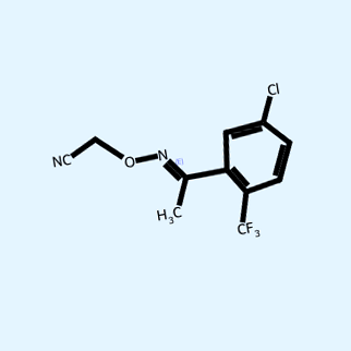 C/C(=N\OCC#N)c1cc(Cl)ccc1C(F)(F)F